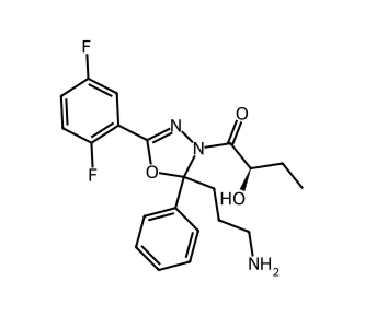 CC[C@@H](O)C(=O)N1N=C(c2cc(F)ccc2F)OC1(CCCN)c1ccccc1